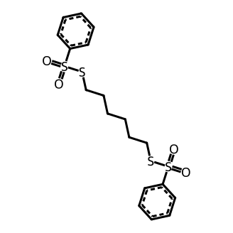 O=S(=O)(SCCCCCCSS(=O)(=O)c1ccccc1)c1ccccc1